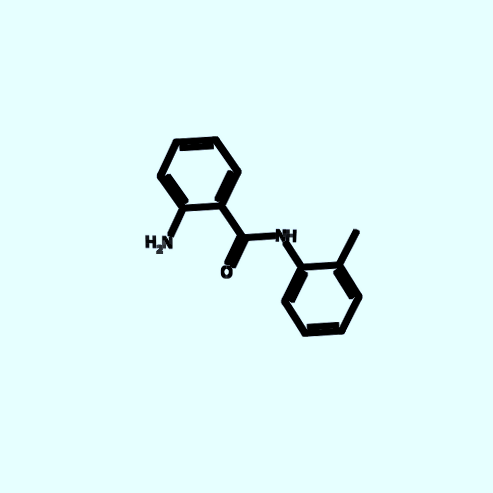 Cc1ccccc1NC(=O)c1ccccc1N